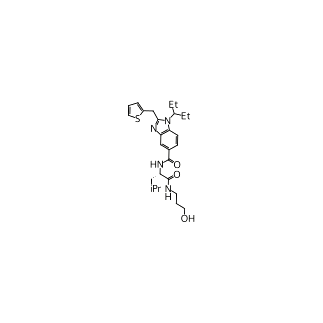 CCC(CC)n1c(Cc2cccs2)nc2cc(C(=O)N[C@@H](CC(C)C)C(=O)NCCCO)ccc21